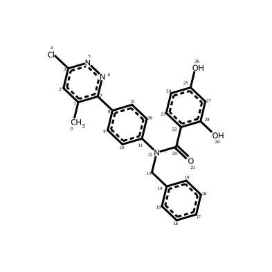 Cc1cc(Cl)nnc1-c1ccc(N(Cc2ccccc2)C(=O)c2ccc(O)cc2O)cc1